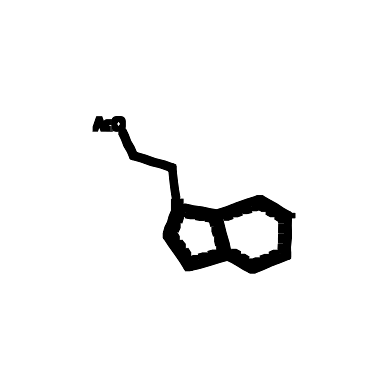 CC(=O)OCCn1ccc2cc[c]cc21